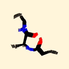 CNCC(=O)N[C@@H](C)C(=O)NCC=O